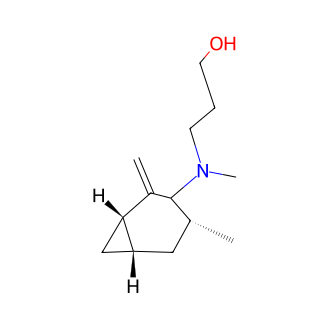 C=C1C(N(C)CCCO)[C@H](C)C[C@@H]2C[C@H]12